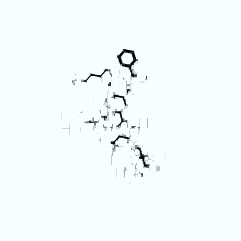 COCCCCOc1ccccc1C(=O)NC[C@@H](C[C@H](NC(=O)OC(C)(C)C)[C@@H](O)C[C@H](C(=O)NCC(C)(C)C(N)=O)C(C)C)C(C)C